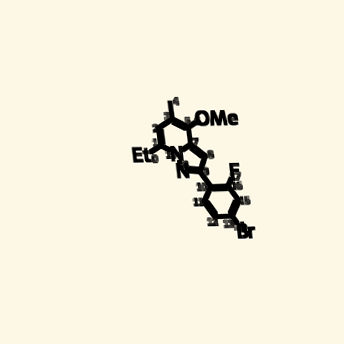 CCc1cc(C)c(OC)c2cc(-c3ccc(Br)cc3F)nn12